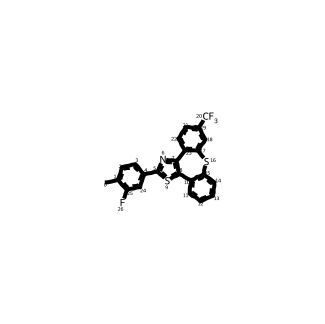 Cc1ccc(-c2nc3c(s2)-c2ccccc2Sc2cc(C(F)(F)F)ccc2-3)cc1F